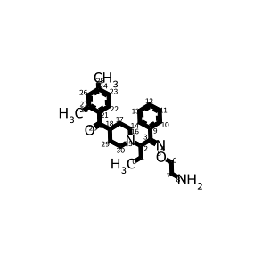 CCC(C(=NOCCN)c1ccccc1)N1CCC(C(=O)c2ccc(C)cc2C)CC1